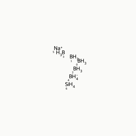 B.B.B.B.[BH4-].[Na+].[SiH4]